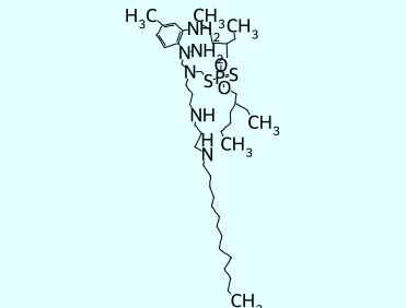 CCCCCCCCCCCCCCNCCCNCCCN(CSP(=S)(OCC(CC)CCCC)OCC(CC)CCCC)CN(N)c1ccc(C)cc1N